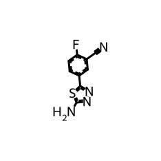 N#Cc1cc(-c2nnc(N)s2)ccc1F